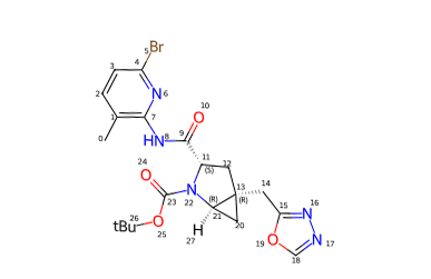 Cc1ccc(Br)nc1NC(=O)[C@@H]1C[C@@]2(Cc3nnco3)C[C@H]2N1C(=O)OC(C)(C)C